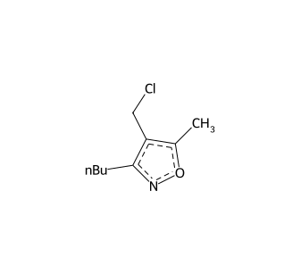 CCCCc1noc(C)c1CCl